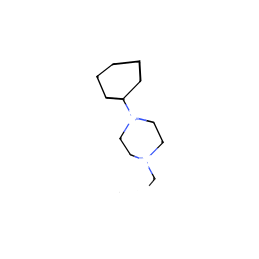 O=C([O-])CN1CCN(C2CCCCC2)CC1.[K+]